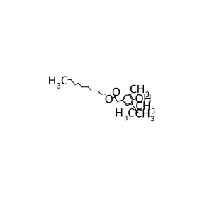 CCCCCCCCCCOC(=O)Cc1cc(C)c(O)c(C(C)(C)C)c1